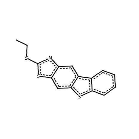 CCSc1nc2cc3c(cc2s1)sc1ccccc13